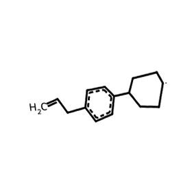 C=CCc1ccc(C2CC[CH]CC2)cc1